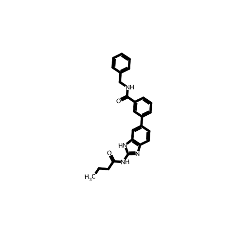 CCCC(=O)Nc1nc2ccc(-c3cccc(C(=O)NCc4ccccc4)c3)cc2[nH]1